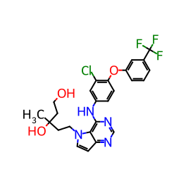 CC(O)(CCO)CCn1ccc2ncnc(Nc3ccc(Oc4cccc(C(F)(F)F)c4)c(Cl)c3)c21